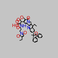 CCC1=CC(=O)N(CCC(=O)N[C@H](C(=O)O)C2C(=O)OCc3c2cc2n(c3=O)Cc3c-2nc2ccc(O[Si](c4ccccc4)(c4ccccc4)C(C)(C)C)cc2c3CC)C1=O